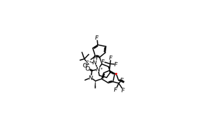 C=CC[C@H]1CC[N+](N[S+]([O-])C(C)(C)C)(C(=O)N(C)[C@H](C)c2cc(C(F)(F)F)cc(C(F)(F)F)c2)[C@@H](c2ccc(F)cc2C)C1